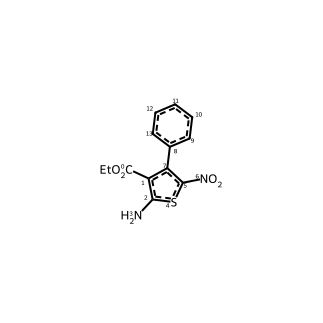 CCOC(=O)c1c(N)sc([N+](=O)[O-])c1-c1ccccc1